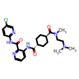 CN(C)CCN(C)C(=O)[C@H]1CC[C@H](C(=O)Nc2cccnc2C(=O)Nc2ccc(Cl)cn2)CC1